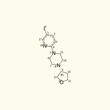 Ic1ccc(N2CCN([C@@H]3CCOC3)CC2)nc1